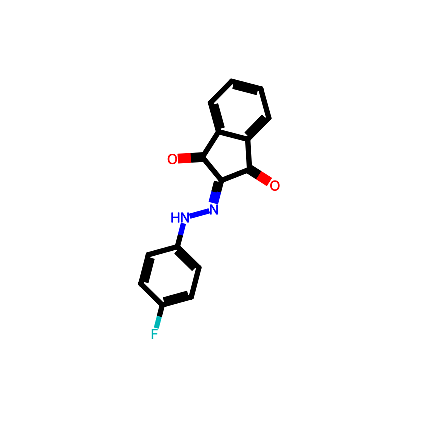 O=c1c(=NNc2ccc(F)cc2)c(=O)c2ccccc12